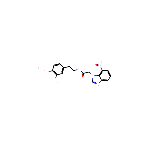 COc1ccc(CCNC(=O)Cn2cnc3cccc([N+](=O)[O-])c32)cc1OC